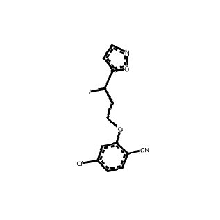 N#Cc1ccc(Cl)cc1OCCC(I)c1ccno1